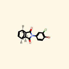 O=C1C2[C@@H]3C=C[C@@H](CC3)[C@@H]2C(=O)N1c1ccc(Br)c(Cl)c1